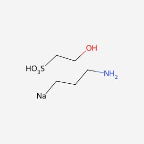 NCC[CH2][Na].O=S(=O)(O)CCO